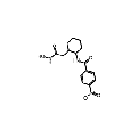 O=C(CC1CCCCC1NC(=O)c1ccc([N+](=O)[O-])cc1)NO